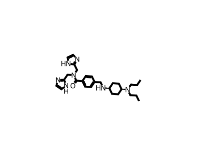 CCCN(CCC)[C@H]1CC[C@@H](NCc2ccc(C(=O)N(Cc3ncc[nH]3)Cc3ncc[nH]3)cc2)CC1